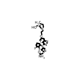 CN1CCN(CCCOc2ccc3c(N(c4cnn(CC(N)=O)c4)c4cccc(F)c4F)ncnc3c2)C[C@H]1CO